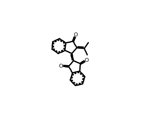 CC(C)=C1C(=O)c2ccccc2C1=C1C(=O)c2ccccc2C1=O